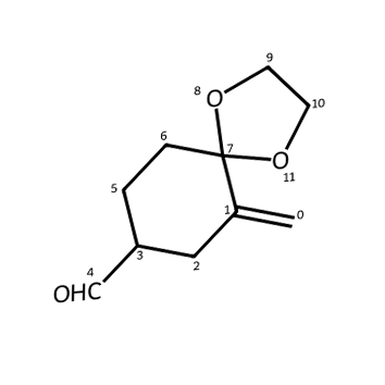 C=C1CC(C=O)CCC12OCCO2